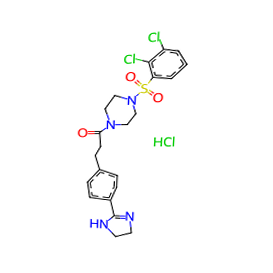 Cl.O=C(CCc1ccc(C2=NCCN2)cc1)N1CCN(S(=O)(=O)c2cccc(Cl)c2Cl)CC1